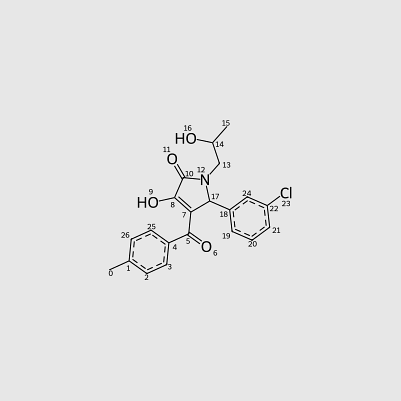 Cc1ccc(C(=O)C2=C(O)C(=O)N(CC(C)O)C2c2cccc(Cl)c2)cc1